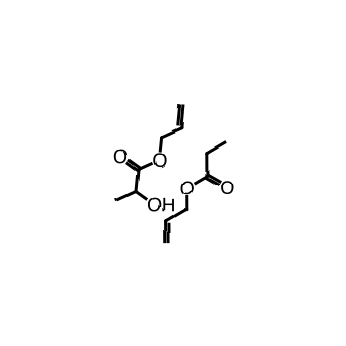 C=CCOC(=O)C(C)O.C=CCOC(=O)CC